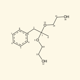 CC(Cc1ccccc1)(OCCO)OCCO